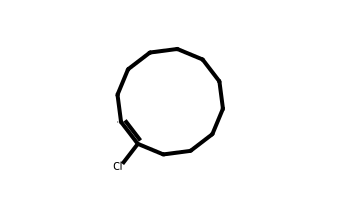 Cl/C1=[C]/CCCCCCCCCC1